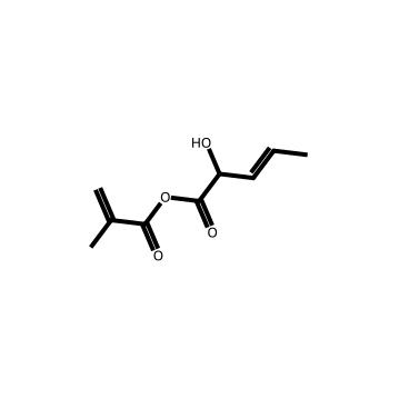 C=C(C)C(=O)OC(=O)C(O)C=CC